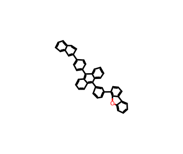 c1cc(-c2c3ccccc3c(-c3ccc(-c4ccc5ccccc5c4)cc3)c3ccccc23)cc(-c2cccc3c2oc2ccccc23)c1